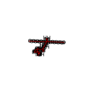 COCCOCCOCCOCCOCCOCCOCCOCCNC(=O)c1cc(N2C(=O)C=CC2=O)cc(C(=O)NCCOCCOCCOCCOCCOCCOCCOCCOC)c1OCCCC(=O)NCC(=O)NCC(=O)N[C@@H](Cc1ccccc1)C(=O)NCC(=O)NCO[C@H](C(=O)N[C@H]1CCc2c(C)c(F)cc3nc4c(c1c23)Cn1c-4cc2c(c1=O)COC(=O)[C@]2(O)CC1CC1)C1CC1